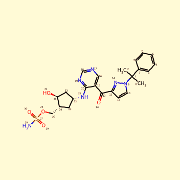 CC(C)(c1ccccc1)n1ccc(C(=O)c2cncnc2N[C@@H]2C[C@H](COS(N)(=O)=O)[C@@H](O)C2)n1